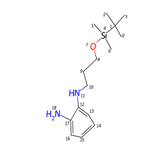 CC(C)(C)[Si](C)(C)OCCCNc1ccccc1N